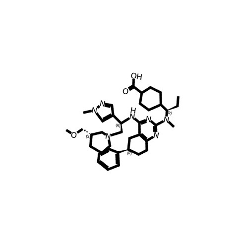 CC[C@H](C1CCC(C(=O)O)CC1)N(C)c1nc2c(c(N[C@@H](CN3CCC[C@H](COC)C3)c3cnn(C)c3)n1)C[C@H](c1ccccc1)CC2